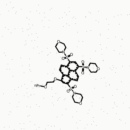 CCCOCCOc1cc(S(=O)(=O)N2CCOCC2)c2ccc3c(S(=O)(=O)N4CCOCC4)cc(S(=O)(=O)N4CCOCC4)c4ccc1c2c43